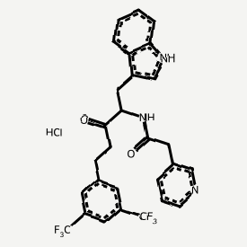 Cl.O=C(Cc1cccnc1)NC(Cc1c[nH]c2ccccc12)C(=O)CCc1cc(C(F)(F)F)cc(C(F)(F)F)c1